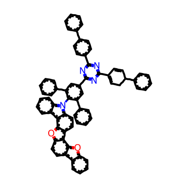 C1=CC(c2ccccc2)CC=C1c1nc(-c2ccc(-c3ccccc3)cc2)nc(-c2cc(-c3ccccc3)c(-n3c4ccccc4c4c5oc6ccc7c8ccccc8oc7c6c5ccc43)c(-c3ccccc3)c2)n1